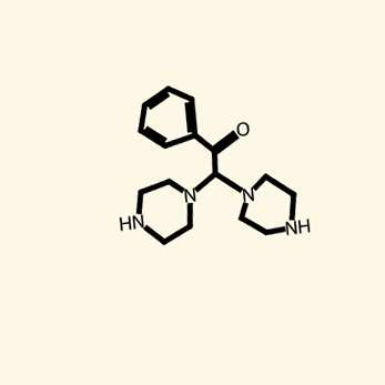 O=C(c1ccccc1)C(N1CCNCC1)N1CCNCC1